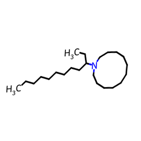 CCCCCCCCCC(CC)N1CCCCCCCCCCC1